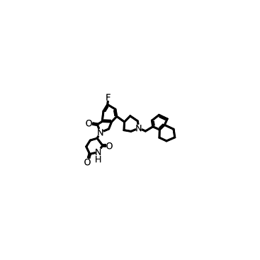 O=C1CCC(N2Cc3c(cc(F)cc3C3CCN(Cc4cccc5c4CCCC5)CC3)C2=O)C(=O)N1